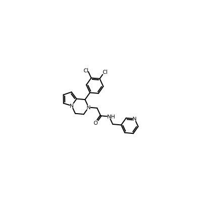 O=C(CN1CCn2cccc2C1c1ccc(Cl)c(Cl)c1)NCc1cccnc1